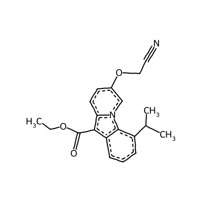 CCOC(=O)c1c2cccc(C(C)C)c2n2cc(OCC#N)ccc12